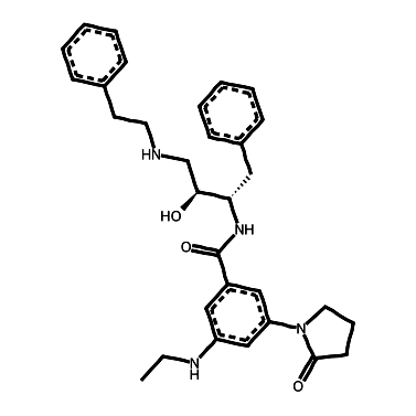 CCNc1cc(C(=O)N[C@@H](Cc2ccccc2)[C@@H](O)CNCCc2ccccc2)cc(N2CCCC2=O)c1